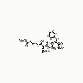 CNC(=O)CCCCC(S)C(=O)N[C@@H](CC(C)C)C(=O)N[C@@H](Cc1ccccc1)C(=O)NC